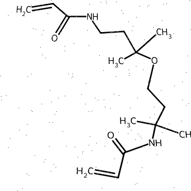 C=CC(=O)NCCC(C)(C)OCCC(C)(C)NC(=O)C=C